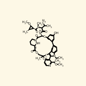 CCn1c(-c2cccnc2[C@H](C)OC)c2c3cc(ccc31)-c1cc(O)cc(c1)C[C@H](NC(=O)C(C(C)C)N(C)C(=O)[C@H]1[C@@H](C)[C@H]1OC)C(=O)N1CCC[C@H](N1)C(=O)OCC(C)(C)C2